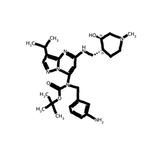 CC(C)c1cnn2c(N(Cc3cccc(N)c3)C(=O)OC(C)(C)C)cc(NC[C@H]3CCN(C)C[C@@H]3O)nc12